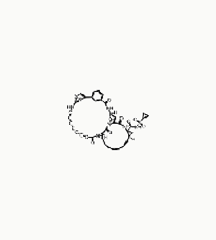 O=C1N[C@H]2CCCCC/C=C\[C@@H]3C[C@@]3(C(=O)NS(=O)(=O)C3CC3)NC(=O)[C@@H]3C[C@H](CN3C2=O)NC(=O)c2cccc(c2)-c2csc(n2)NCCCCCCO1